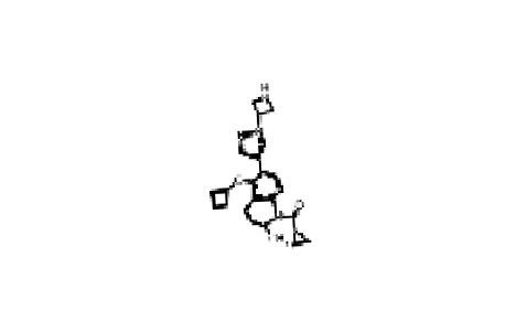 C[C@H]1CCc2c(ccc(-c3cnn(C4CNC4)c3)c2OC2CCC2)N1C(=O)C1CC1